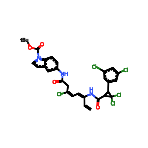 C=C/C(=C\C=C(\Cl)CC(=O)Nc1ccc2c(ccn2C(=O)OC(C)(C)C)c1)NC(=O)C1C(c2cc(Cl)cc(Cl)c2)C1(Cl)Cl